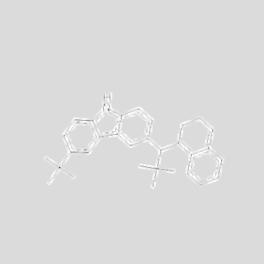 CC(C)(C)c1ccc2[nH]c3ccc(C(C4=c5ccccc5=CCC4)C(C)(C)C)cc3c2c1